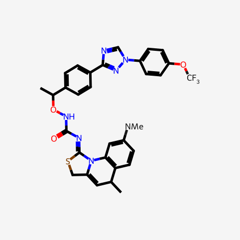 CNc1ccc2c(c1)N1C(=CC2C)CS/C1=N\C(=O)NOC(C)c1ccc(-c2ncn(-c3ccc(OC(F)(F)F)cc3)n2)cc1